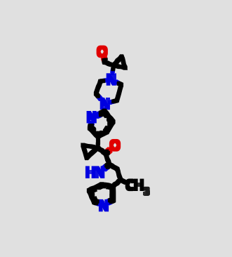 CC(CC(=N)C(=O)C1(c2ccc(N3CCN(C4(C=O)CC4)CC3)nc2)CC1)c1cccnc1